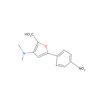 CN(C)c1cc(-c2ccc([N+](=O)[O-])cc2)oc1C(=O)O